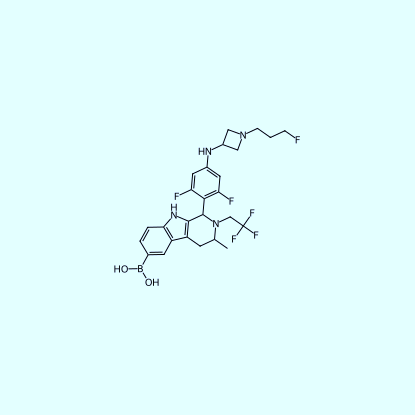 CC1Cc2c([nH]c3ccc(B(O)O)cc23)C(c2c(F)cc(NC3CN(CCCF)C3)cc2F)N1CC(F)(F)F